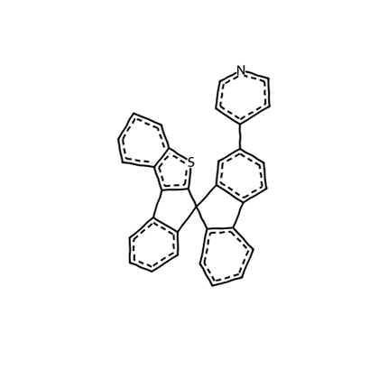 c1ccc2c(c1)-c1ccc(-c3ccncc3)cc1C21c2ccccc2-c2c1sc1ccccc21